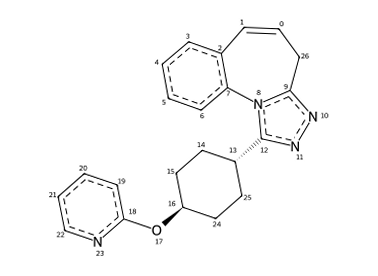 C1=Cc2ccccc2-n2c(nnc2[C@H]2CC[C@H](Oc3ccccn3)CC2)C1